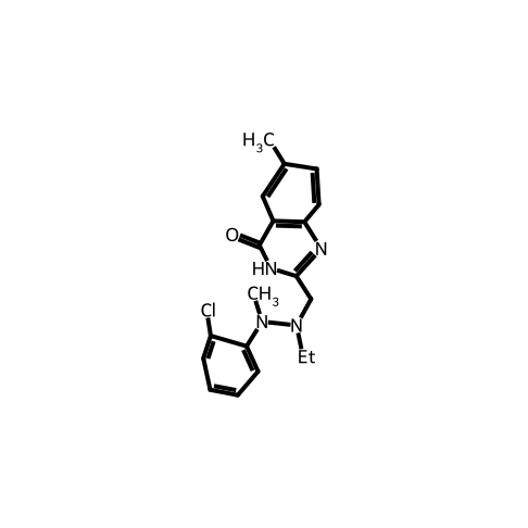 CCN(Cc1nc2ccc(C)cc2c(=O)[nH]1)N(C)c1ccccc1Cl